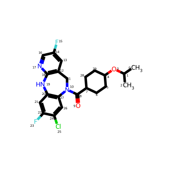 CC(C)OC1CCC(C(=O)N2Cc3cc(F)cnc3Nc3cc(F)c(Cl)cc32)CC1